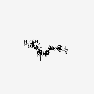 CC(c1ccnc(Nc2nc3ccc(-c4cnn(COCC[Si](C)(C)C)c4)cc3[nH]2)c1)N1CCN(C(=O)OC(C)(C)C)CC1